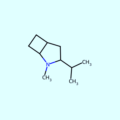 CC(C)C1CC2CCC2N1C